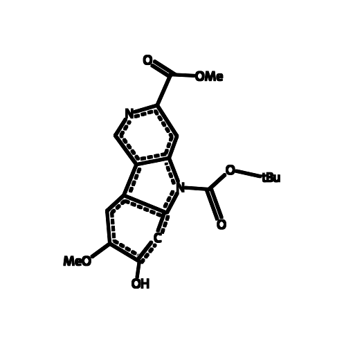 COC(=O)c1cc2c(cn1)c1cc(OC)c(O)cc1n2C(=O)OC(C)(C)C